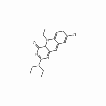 CCN(CC)C1=NC(=O)C2C(=N1)C=C1C=C(Cl)CC=C1N2CC